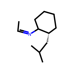 C/C=N\C1CCCC[C@@H]1CC(C)C